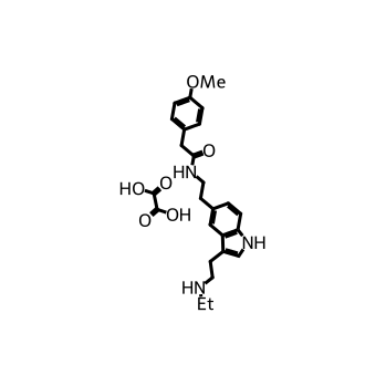 CCNCCc1c[nH]c2ccc(CCNC(=O)Cc3ccc(OC)cc3)cc12.O=C(O)C(=O)O